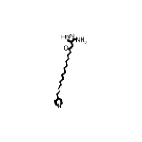 Nc1n[nH]cc1CC(=O)CCCCCCCCCCCCCCc1ccncc1